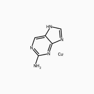 Nc1ncc2[nH]cnc2n1.[Cu]